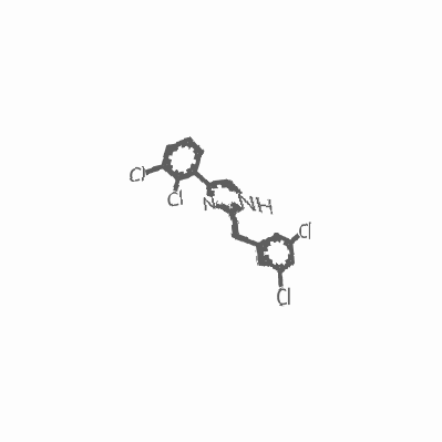 Clc1cc(Cl)cc(Cc2nc(-c3cccc(Cl)c3Cl)c[nH]2)c1